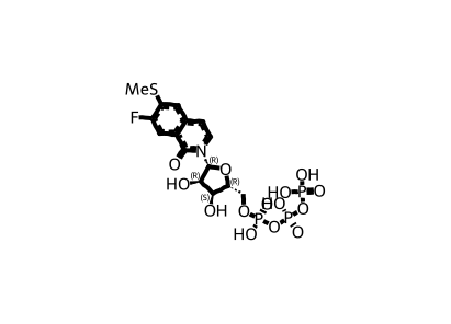 CSc1cc2ccn([C@@H]3O[C@H](COP(=O)(O)OP(=O)(O)OP(=O)(O)O)[C@@H](O)[C@H]3O)c(=O)c2cc1F